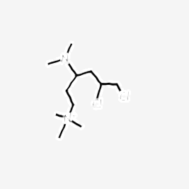 CN(C)C(CC[N+](C)(C)C)CC(Cl)CCl